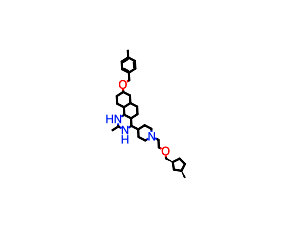 Cc1ccc(COC2CCC3C(CCC4C(C5CCN(CCOC[C@H]6CC[C@@H](C)C6)CC5)NC(C)NC34)C2)cc1